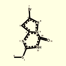 CSc1nc2cc(Br)nn2c(=O)[nH]1